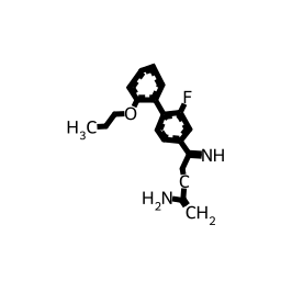 C=C(N)CCC(=N)c1ccc(-c2ccccc2OCCC)c(F)c1